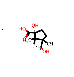 CC1(CO)CC[C@](O)(C(=O)O)C1(C)C